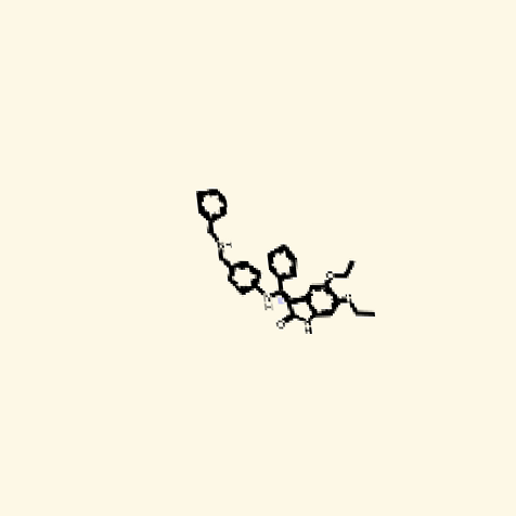 CCOc1cc2c(cc1OCC)/C(=C(/Nc1ccc(CNCc3ccccc3)cc1)c1ccccc1)C(=O)N2